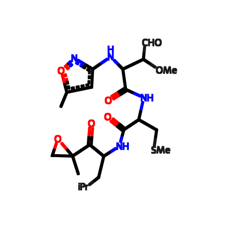 COC(C=O)C(Nc1cc(C)on1)C(=O)NC(CSC)C(=O)NC(CC(C)C)C(=O)C1(C)CO1